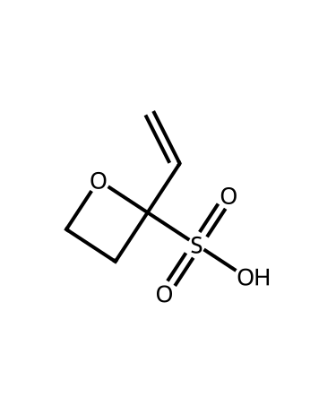 C=CC1(S(=O)(=O)O)CCO1